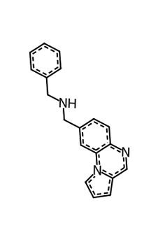 c1ccc(CNCc2ccc3ncc4cccn4c3c2)cc1